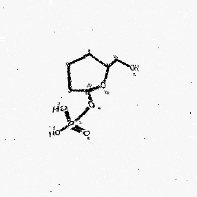 O=P(O)(O)O[C@H]1CCCC(CO)O1